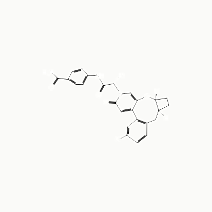 CC[C@@H](C(=O)Nc1ccc(C(N)=O)cc1)n1cc2c(cc1=O)-c1cc(Cl)ccc1C[C@H]1CC[C@H]1O2